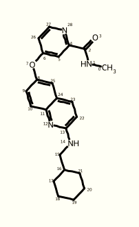 CNC(=O)c1cc(Oc2ccc3nc(NCC4CCCCC4)ccc3c2)ccn1